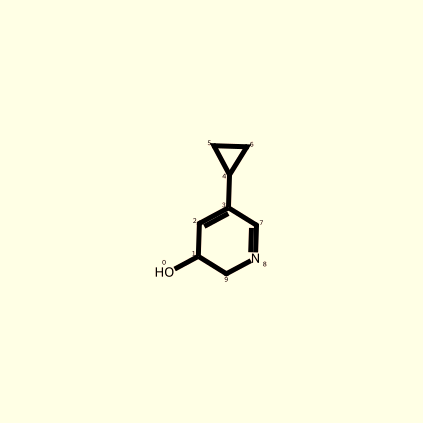 OC1C=C(C2CC2)C=NC1